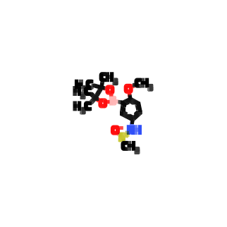 COc1ccc(N[S+](C)[O-])cc1B1OC(C)(C)C(C)(C)O1